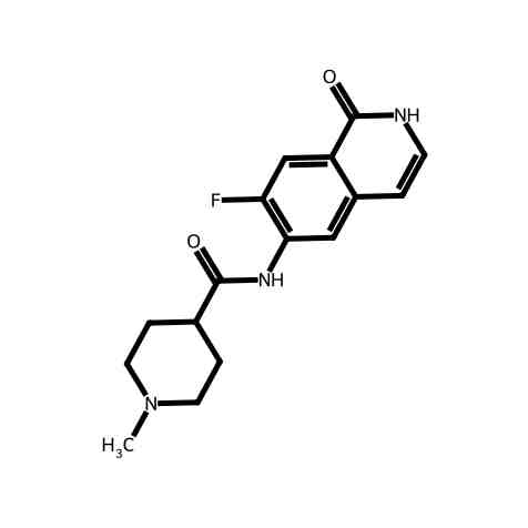 CN1CCC(C(=O)Nc2cc3cc[nH]c(=O)c3cc2F)CC1